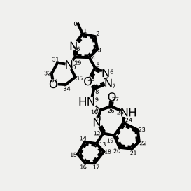 Cc1ccc(-c2nnc(N[C@H]3N=C(c4ccccc4)c4ccccc4NC3=O)o2)c(N2CCOCC2)n1